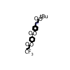 CC(C)(C)OC(=O)/C=C/c1ccc(OC(=O)[C@H]2CC[C@H](OC(=O)CCC(F)(F)F)CC2)cc1